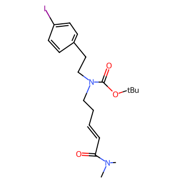 CN(C)C(=O)/C=C/CCN(CCc1ccc(I)cc1)C(=O)OC(C)(C)C